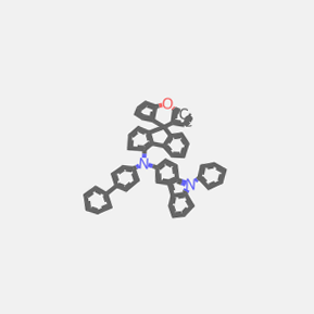 c1ccc(-c2ccc(N(c3ccc4c(c3)c3ccccc3n4-c3ccccc3)c3cccc4c3-c3ccccc3C43c4ccccc4Oc4ccccc43)cc2)cc1